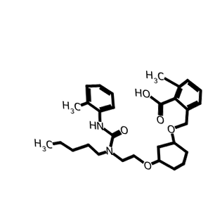 CCCCCN(CCOC1CCCC(OCc2cccc(C)c2C(=O)O)C1)C(=O)Nc1ccccc1C